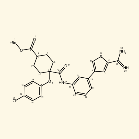 CC(C)(C)OC(=O)N1CCC(Oc2ccc(Cl)cc2)(C(=O)Nc2cccc(-c3csc(C(=N)N)c3)c2)CC1